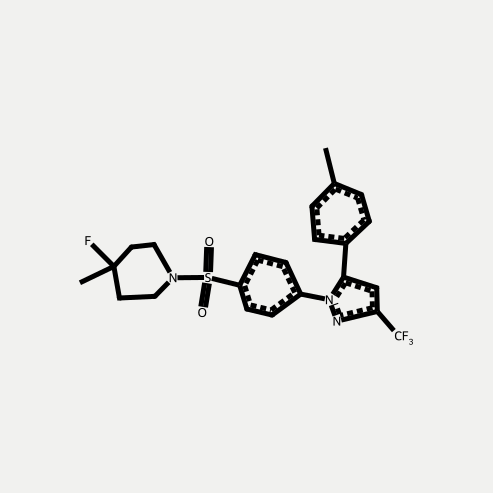 Cc1ccc(-c2cc(C(F)(F)F)nn2-c2ccc(S(=O)(=O)N3CCC(C)(F)CC3)cc2)cc1